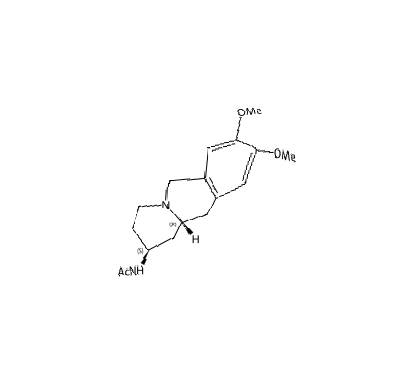 COc1cc2c(cc1OC)CN1CC[C@H](NC(C)=O)C[C@H]1C2